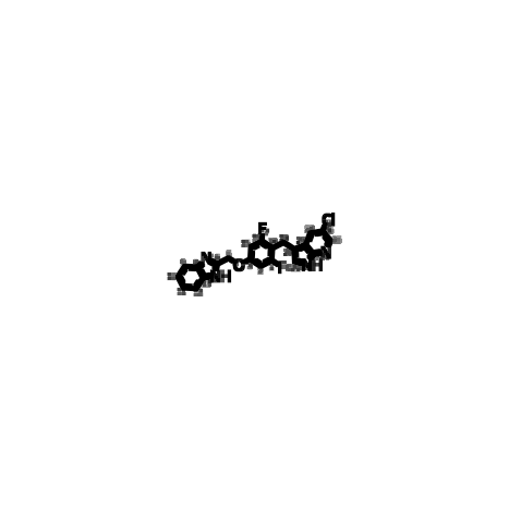 Fc1cc(OCc2nc3ccccc3[nH]2)cc(F)c1Cc1c[nH]c2ncc(Cl)cc12